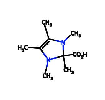 CC1=C(C)N(C)C(C)(C(=O)O)N1C